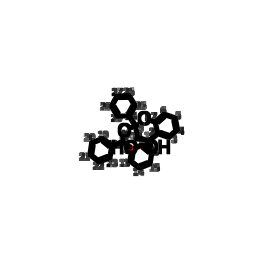 OC1c2ccccc2OC(OC(c2ccccc2)c2ccccc2)(c2ccccc2)C1O